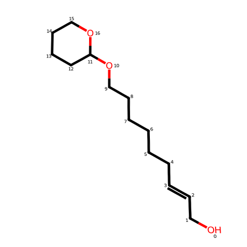 OC/C=C/CCCCCCOC1CCCCO1